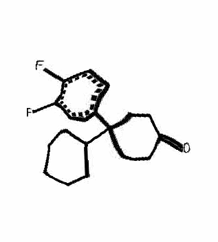 O=C1CCC(c2ccc(F)c(F)c2)(C2CCCCC2)CC1